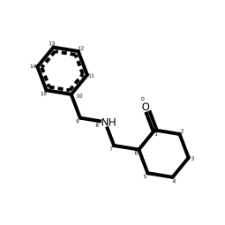 O=C1CCCCC1CNCc1ccccc1